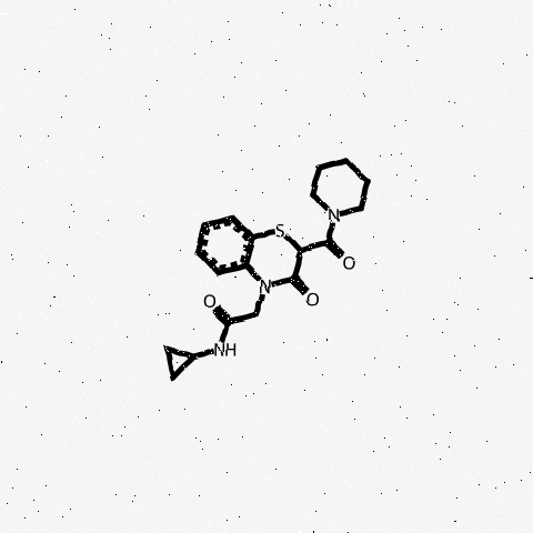 O=C(CN1C(=O)C(C(=O)N2CCCCC2)Sc2ccccc21)NC1CC1